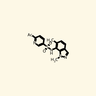 CC(=O)c1ccc(S(=O)(=O)Nc2c(C)ccc3cnn(C)c23)cn1